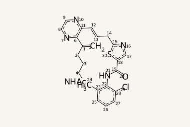 C=C(CCCNC(C)=O)c1nccnc1/C=C/Cc1ncc(C(=O)Nc2c(C)cccc2Cl)s1